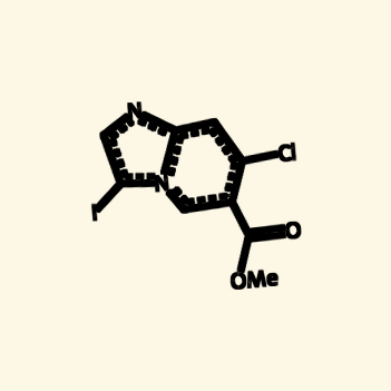 COC(=O)c1cn2c(I)cnc2cc1Cl